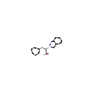 COC(=O)C(Cc1ccccc1)n1cc2ccccc2n1